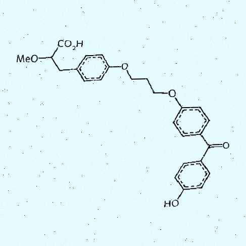 COC(Cc1ccc(OCCCOc2ccc(C(=O)c3ccc(O)cc3)cc2)cc1)C(=O)O